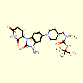 CN(CC1CCN(c2ccc3c(c2)n(C)c(=O)n3C2CCC(=O)NC2=O)CC1)C(=O)OC(C)(C)C